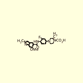 COc1cc2nn(C)cc2cc1C(=O)Nc1ccc(N2CCN(C(=O)O)[C@@H](C)C2)cc1F